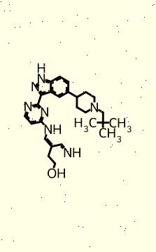 CC(C)(C)CN1CCC(c2ccc3[nH]nc(-c4nccc(N/C=C(\C=N)CCO)n4)c3c2)CC1